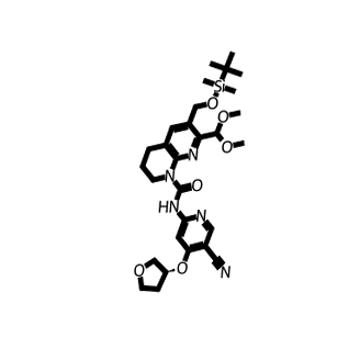 COC(OC)c1nc2c(cc1CO[Si](C)(C)C(C)(C)C)CCCN2C(=O)Nc1cc(O[C@@H]2CCOC2)c(C#N)cn1